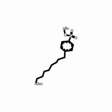 CCCCCCCCCCCCCCCCCCc1ccc(S(=O)(=O)OCCCC)cc1